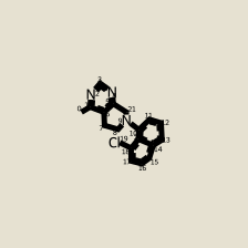 Cc1ncnc2c1CCN(c1cccc3cccc(Cl)c13)C2